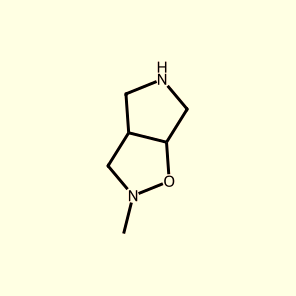 CN1CC2CNCC2O1